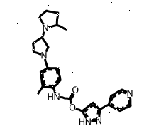 Cc1cc(N2CCC(N3CCCC3C)C2)ccc1NC(=O)Oc1cc(-c2ccncc2)n[nH]1